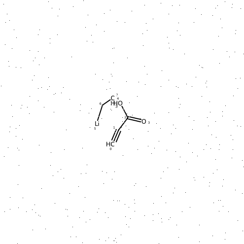 C#CC(=O)O.[Li][CH2]C